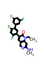 CCn1c(=O)c(-c2cc(-c3cc(F)cc(F)c3)c(F)[c]c2F)cc2cnc(NC)cc21